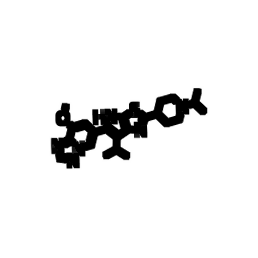 COc1cc(-c2[nH]c3sc(C4CCN(C(C)C)CC4)nc3c2C(C)C)cn2ncnc12